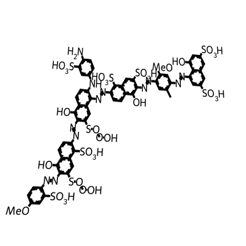 COc1ccc(N=Nc2c(SOOO)cc3c(S(=O)(=O)O)c(N=Nc4c(SOOO)cc5c(N=Nc6ccc7c(O)c(N=Nc8cc(C)c(N=Nc9cc(S(=O)(=O)O)cc%10cc(S(=O)(=O)O)cc(O)c9%10)cc8OC)c(S(=O)(=O)O)cc7c6S(=O)(=O)O)c(Nc6ccc(N)c(S(=O)(=O)O)c6)ccc5c4O)ccc3c2O)c(S(=O)(=O)O)c1